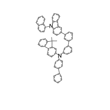 CC1(C)c2ccccc2-c2ccc(N(c3ccc(-c4ccccc4)cc3)c3cccc(-c4cccc(-c5ccc6c(c5)c5ccccc5n6-c5cccc6ccccc56)c4)c3)cc21